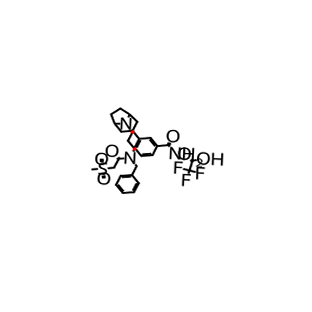 CS(=O)(=O)CC(=O)N(CCCN1C2CCC1CC(c1cccc(C(N)=O)c1)C2)Cc1ccccc1.O=C(O)C(F)(F)F